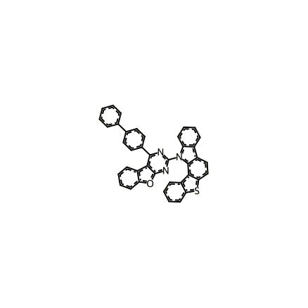 c1ccc(-c2ccc(-c3nc(-n4c5ccccc5c5ccc6sc7ccccc7c6c54)nc4oc5ccccc5c34)cc2)cc1